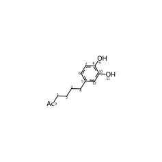 CC(=O)CCCCc1ccc(O)c(O)c1